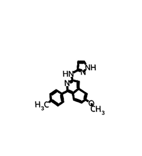 COc1ccc2c(-c3ccc(C)cc3)nc(Nc3cc[nH]n3)cc2c1